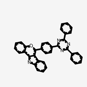 c1ccc(-c2nc(-c3ccccc3)nc(-c3ccc(-c4oc5ccccc5c5nc6ccccc6c4-5)cc3)n2)cc1